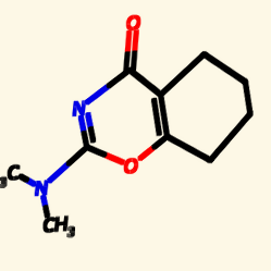 CN(C)c1nc(=O)c2c(o1)CCCC2